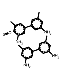 Cc1cc(N)cc(-c2cc(C)cc(N)c2)c1.Cc1cc(N)cc(-c2cc(C)cc(N)c2)c1.O=S